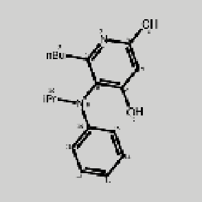 CCCCc1nc(O)[c]c(O)c1N(c1ccccc1)C(C)C